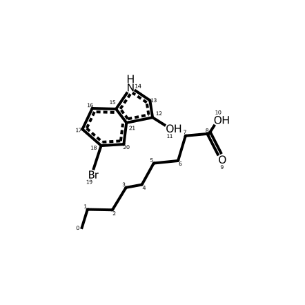 CCCCCCCCC(=O)O.Oc1c[nH]c2ccc(Br)cc12